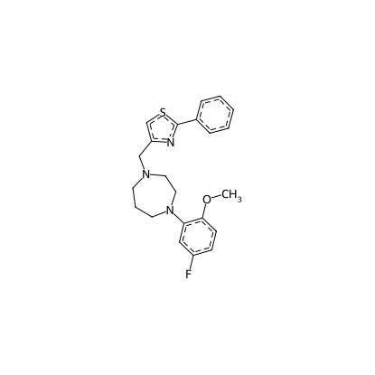 COc1ccc(F)cc1N1CCCN(Cc2csc(-c3ccccc3)n2)CC1